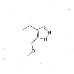 COCc1oncc1C(C)C